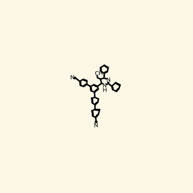 CCC1C(c2ccccc2)N=C(c2ccccc2)NC1c1cc(-c2ccc(C#N)cc2)cc(C2C=CC(c3ccc(C#N)cc3)=CC2)c1